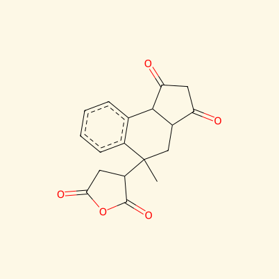 CC1(C2CC(=O)OC2=O)CC2C(=O)CC(=O)C2c2ccccc21